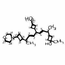 CC(CCC(CCC(C)C1CC(C)(O)C1)C1CC(O)C1)C1CC(N2CCOCC2)C1